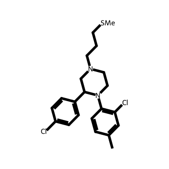 CSCCCN1CCN(c2ccc(C)cc2Cl)C(c2ccc(Cl)cc2)C1